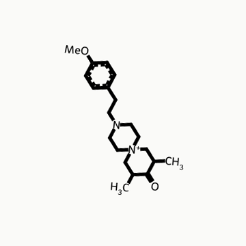 COc1ccc(CCN2CC[N+]3(CC2)CC(C)C(=O)C(C)C3)cc1